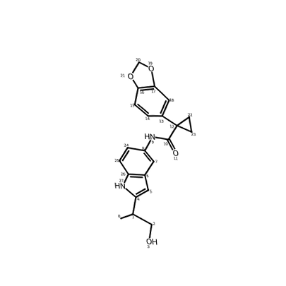 CC(CO)c1cc2cc(NC(=O)C3(c4ccc5c(c4)OCO5)CC3)ccc2[nH]1